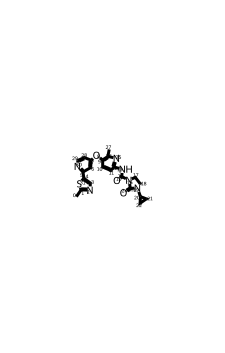 Cc1ncc(-c2cc(Oc3ccc(NC(=O)N4CCN(C5CC5)C4=O)nc3C)ccn2)s1